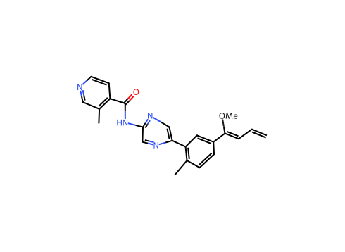 C=C/C=C(\OC)c1ccc(C)c(-c2cnc(NC(=O)c3ccncc3C)cn2)c1